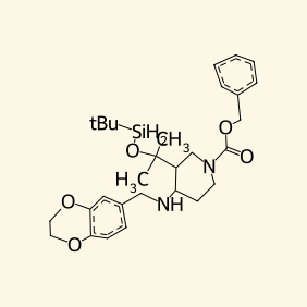 CC(C)(C)[SiH2]OC(C)(C)C1CN(C(=O)OCc2ccccc2)CCC1NCc1ccc2c(c1)OCCO2